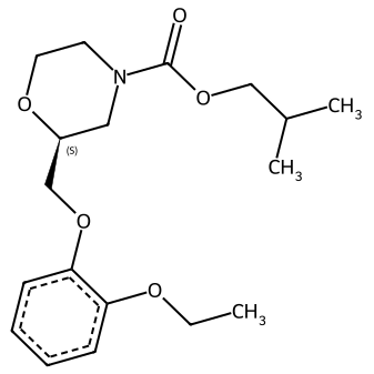 CCOc1ccccc1OC[C@@H]1CN(C(=O)OCC(C)C)CCO1